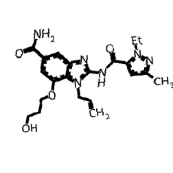 C=CCn1c(NC(=O)c2cc(C)nn2CC)nc2cc(C(N)=O)cc(OCCCO)c21